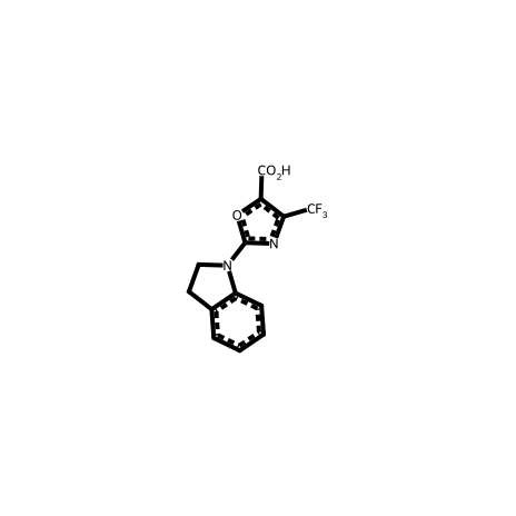 O=C(O)c1oc(N2CCc3ccccc32)nc1C(F)(F)F